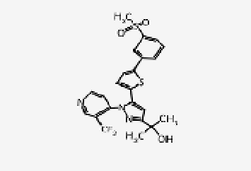 CC(C)(O)c1cc(-c2ccc(-c3cccc(S(C)(=O)=O)c3)s2)n(-c2ccncc2C(F)(F)F)n1